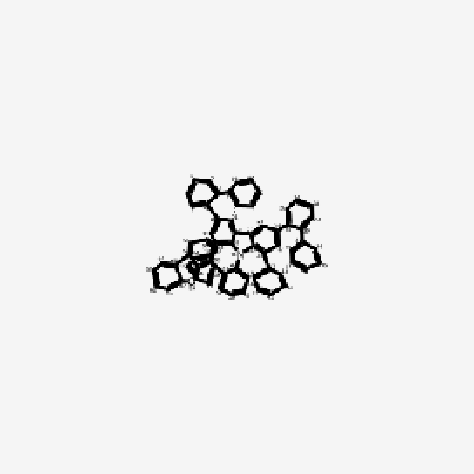 c1ccc(-c2ccccc2-c2cc(-c3ccccc3)c3c(c2)c2cc(-c4ccccc4-c4ccccc4)cc(-c4ccccc4)c2n3-c2ccccc2-c2cccc3c2oc2ccccc23)cc1